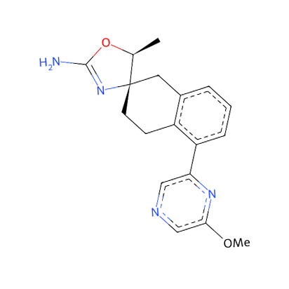 COc1cncc(-c2cccc3c2CC[C@@]2(C3)N=C(N)O[C@H]2C)n1